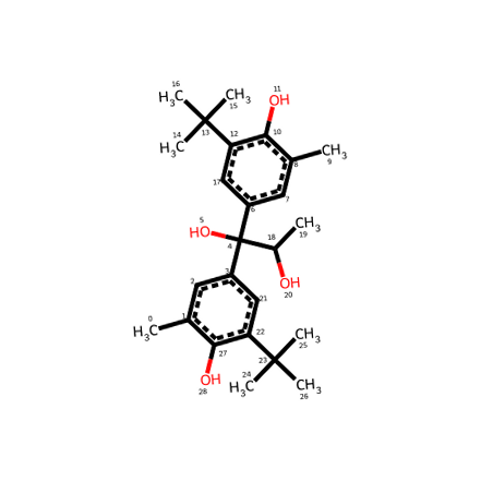 Cc1cc(C(O)(c2cc(C)c(O)c(C(C)(C)C)c2)C(C)O)cc(C(C)(C)C)c1O